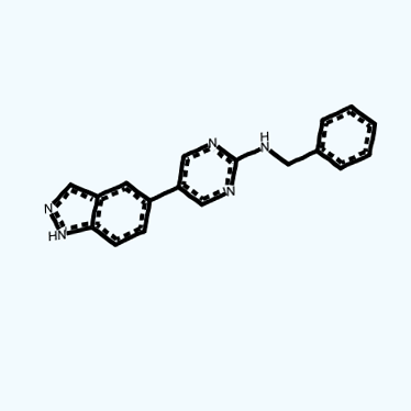 c1ccc(CNc2ncc(-c3ccc4[nH]ncc4c3)cn2)cc1